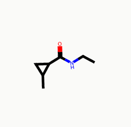 CCNC(=O)C1CC1C